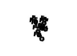 C=C(/C=C(F)\C=C\OC(F)(F)C(F)F)[C@](Cc1ccccc1)(NC(=O)c1ccc(F)c(C(F)(F)F)c1)c1ccc(F)c(OCC2CCCCC2)c1